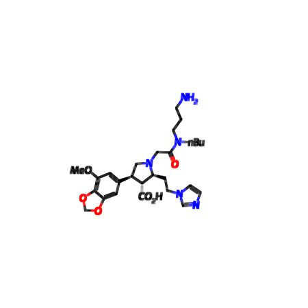 CCCCN(CCCN)C(=O)CN1C[C@H](c2cc(OC)c3c(c2)OCO3)[C@@H](C(=O)O)[C@@H]1CCn1ccnc1